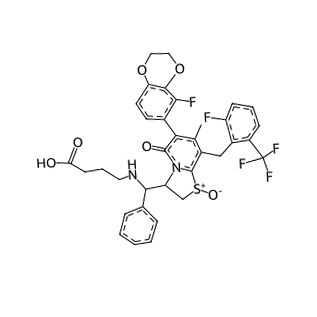 Cc1c(Cc2c(F)cccc2C(F)(F)F)c2n(c(=O)c1-c1ccc3c(c1F)OCCO3)C(C(NCCCC(=O)O)c1ccccc1)C[S+]2[O-]